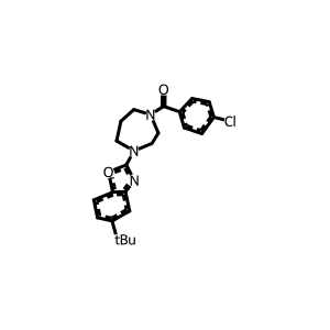 CC(C)(C)c1ccc2oc(N3CCCN(C(=O)c4ccc(Cl)cc4)CC3)nc2c1